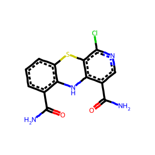 NC(=O)c1cccc2c1Nc1c(C(N)=O)cnc(Cl)c1S2